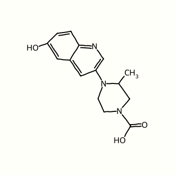 CC1CN(C(=O)O)CCN1c1cnc2ccc(O)cc2c1